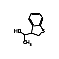 CC(O)C1CSc2ccccc21